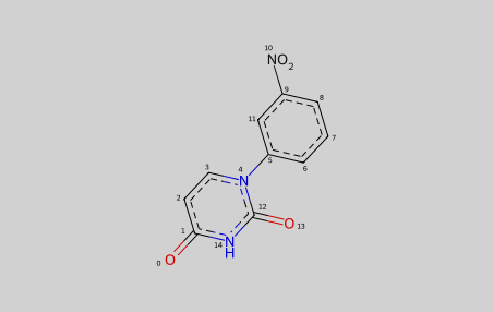 O=c1ccn(-c2cccc([N+](=O)[O-])c2)c(=O)[nH]1